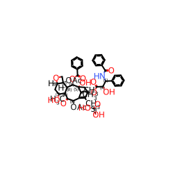 CC(=O)O[C@H]1C(=O)[C@@]2(C)[C@H]([C@H](OC(=O)c3ccccc3)[C@]3(O)C[C@H](OC(=O)[C@H](O)[C@@H](NC(=O)c4ccccc4)c4ccccc4)C(C)=C1C3(C)C)[C@]1(OC(C)=O)CO[C@@H]1C[C@@H]2O.O=[Si](O)O